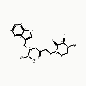 CCN1CCN(CCC(=O)N[C@@H](Cc2coc3ccccc23)B(O)O)C(=O)C1=O